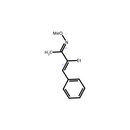 CCC(=C\c1ccccc1)/C(C)=N/OC